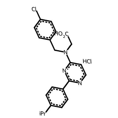 CC(C)c1ccc(-c2nccc(N(CC(=O)O)Cc3ccc(Cl)cc3)n2)cc1.Cl